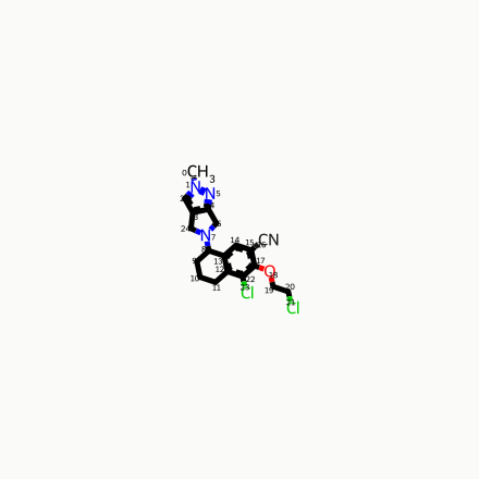 Cn1cc2c(n1)CN(C1CCCc3c1cc(C#N)c(OCCCl)c3Cl)C2